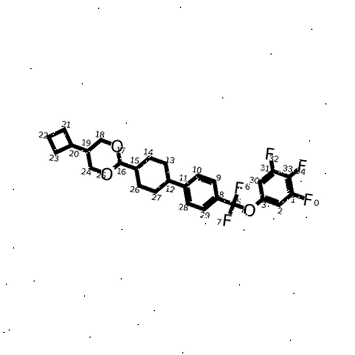 Fc1cc(OC(F)(F)c2ccc(C3CCC(C4OCC(C5CCC5)CO4)CC3)cc2)cc(F)c1F